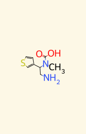 CN(C(=O)O)C(CN)c1ccsc1